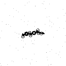 CCOCOC(=O)C1CCC(C(=O)Oc2ccc(C(C)=O)cc2)CC1